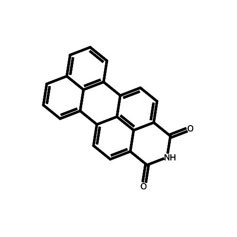 O=C1NC(=O)c2ccc3c4cccc5cccc(c6ccc1c2c63)c54